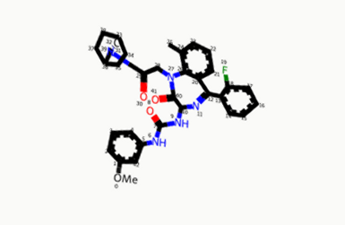 COc1cccc(NC(=O)NC2N=C(c3ccccc3F)c3cccc(C)c3N(CC(=O)N3CC4CCC(CC4)C3)C2=O)c1